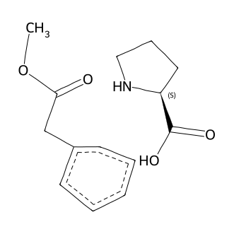 COC(=O)Cc1ccccc1.O=C(O)[C@@H]1CCCN1